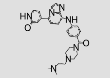 CN(C)CCN1CCN(C(=O)c2ccc(Nc3ccc(-c4cc[nH]c(=O)c4)n4ccnc34)cc2)CC1